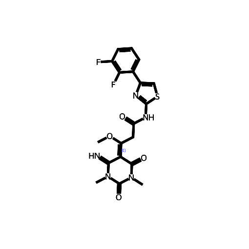 CO/C(CC(=O)Nc1nc(-c2cccc(F)c2F)cs1)=C1\C(=N)N(C)C(=O)N(C)C1=O